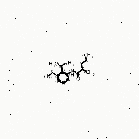 CCCC(C)C(=O)Nc1cccc(CCl)c1C(C)C